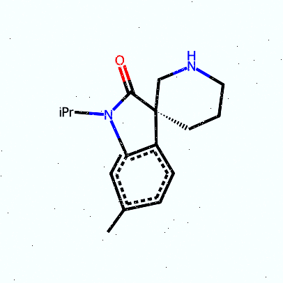 Cc1ccc2c(c1)N(C(C)C)C(=O)[C@]21CCCNC1